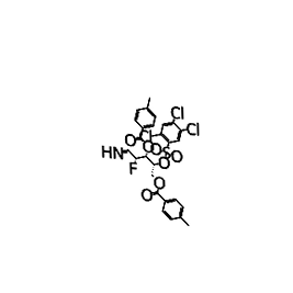 Cc1ccc(C(=O)OC[C@@H](OS(=O)(=O)c2cc(Cl)c(Cl)cc2Cl)[C@@H](OC(=O)c2ccc(C)cc2)[C@H](F)C=N)cc1